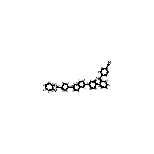 N#Cc1ccc(-c2nc3cc(-c4ccc5cc(-c6ccc(-c7nc8ccccc8o7)cc6)ccc5c4)ccc3c3ccccc23)cc1